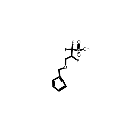 O=S(=O)(O)C(F)(F)C(F)COCc1ccccc1